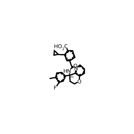 Cc1ccc([C@@]2(NC(=O)c3ccc(C(=O)O)c(C4CC4)c3)CCOc3cccnc32)cc1F